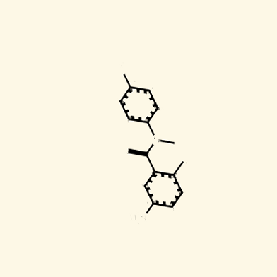 C=C(c1cc(N)ccc1C)N(C)c1ccc(F)cc1